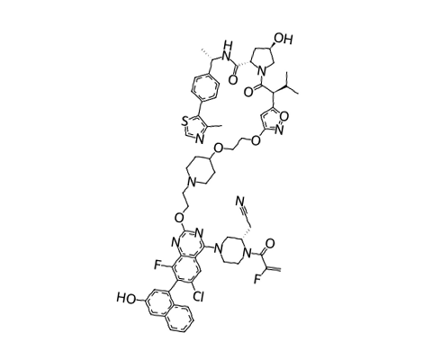 C=C(F)C(=O)N1CCN(c2nc(OCCN3CCC(OCCOc4cc([C@@H](C(=O)N5C[C@H](O)C[C@H]5C(=O)N[C@@H](C)c5ccc(-c6scnc6C)cc5)C(C)C)on4)CC3)nc3c(F)c(-c4cc(O)cc5ccccc45)c(Cl)cc23)C[C@@H]1CC#N